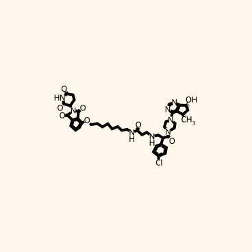 C[C@@H]1C[C@@H](O)c2ncnc(N3CCN(C(=O)C(CNCCC(=O)NCCCCCCCCOc4cccc5c4C(=O)N(C4CCC(=O)NC4=O)C5=O)c4ccc(Cl)cc4)CC3)c21